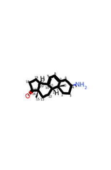 C[C@]12CC[C@H](N)CC1=CC=C1[C@@H]2CC[C@]2(C)C(=O)CC[C@@H]12